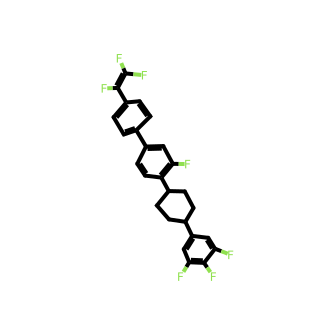 FC(F)=C(F)c1ccc(-c2ccc(C3CCC(c4cc(F)c(F)c(F)c4)CC3)c(F)c2)cc1